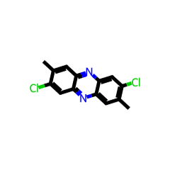 Cc1cc2nc3cc(Cl)c(C)cc3nc2cc1Cl